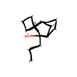 CCCC1(O)C2CCC(C2)C12CCC2